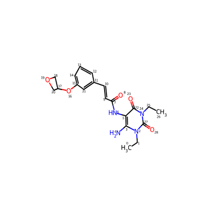 CCn1c(N)c(NC(=O)/C=C/c2cccc(OC3COC3)c2)c(=O)n(CC)c1=O